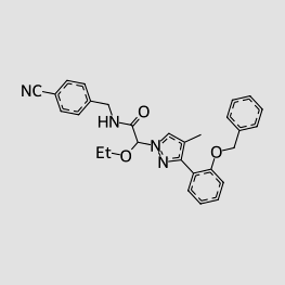 CCOC(C(=O)NCc1ccc(C#N)cc1)n1cc(C)c(-c2ccccc2OCc2ccccc2)n1